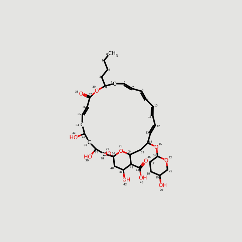 CCCCC1C/C=C/C=C/C=C/C=C/C(OC2CCC(O)CO2)CC2OC(O)(CC(O)CC(O)C/C=C/C(=O)O1)CC(O)C2C(=O)O